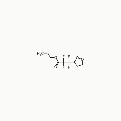 C=CCOC(=O)C(F)(F)C(F)(F)C1CCOO1